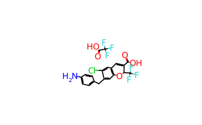 Nc1ccc(Cc2cc3c(cc2Cl)C=C(C(=O)O)C(C(F)(F)F)O3)cc1.O=C(O)C(F)(F)F